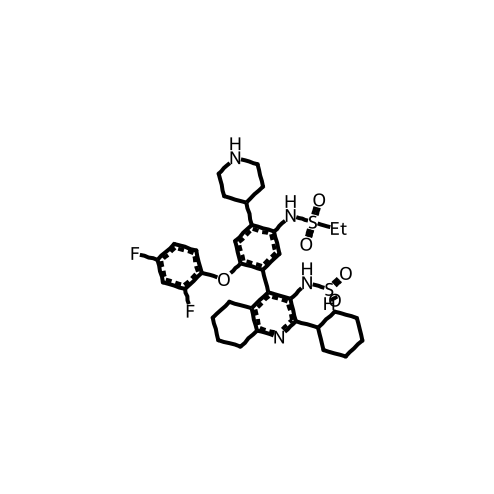 CCS(=O)(=O)Nc1cc(-c2c3c(nc(C4CCCCC4)c2N[SH](=O)=O)CCCC3)c(Oc2ccc(F)cc2F)cc1C1CCNCC1